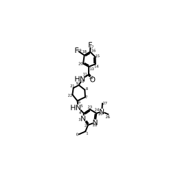 CCc1nc(NC2CCC(NC(=O)c3ccc(F)c(F)c3)CC2)cc(N(C)C)n1